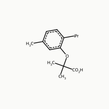 Cc1ccc(C(C)C)c(OC(C)(C)C(=O)O)c1